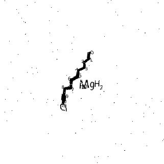 C=CCCCCCCCC#CCl.[MgH2]